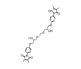 CC1=C(C)C(=O)N(c2ccc(OCC(O)COCCOCC(O)COc3ccc(N4C(=O)C(C)=C(C)C4=O)cc3)cc2)C1=O